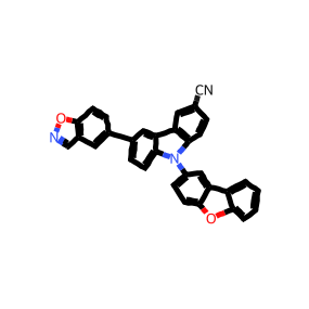 N#Cc1ccc2c(c1)c1cc(-c3ccc4oncc4c3)ccc1n2-c1ccc2oc3ccccc3c2c1